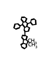 CC1(C)c2ccccc2-c2ccc(-c3ccc4c(-c5ccccc5)c5ccccc5c(-c5ccccc5)c4c3)cc21